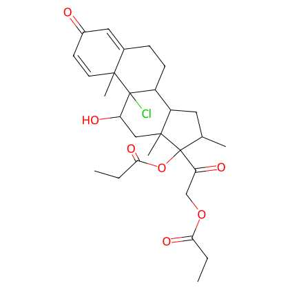 CCC(=O)OCC(=O)C1(OC(=O)CC)C(C)CC2C3CCC4=CC(=O)C=CC4(C)C3(Cl)C(O)CC21C